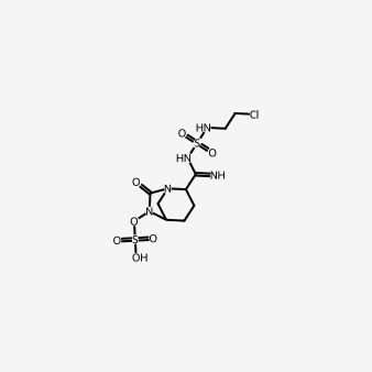 N=C(NS(=O)(=O)NCCCl)C1CCC2CN1C(=O)N2OS(=O)(=O)O